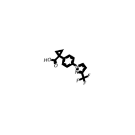 O=C(O)C1(c2ccc(-n3ccc(C(F)(F)F)n3)cc2)CC1